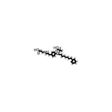 O=C(O)C(F)(F)F.O=C(O)CCNCCCc1ccc(OCCCCCCCCc2ccccc2)cc1